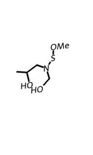 COSN(CO)CC(C)O